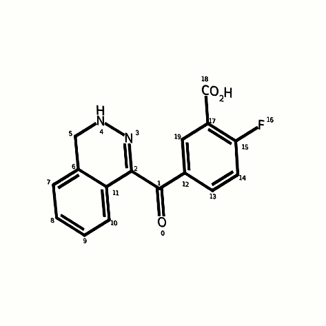 O=C(C1=NNCc2ccccc21)c1ccc(F)c(C(=O)O)c1